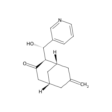 C=C1C[C@@H]2CC(=O)[C@@H]([C@H](O)c3cccnc3)[C@H](C1)C2